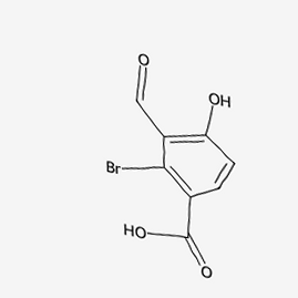 O=Cc1c(O)ccc(C(=O)O)c1Br